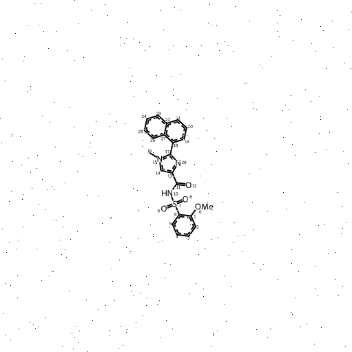 COc1ccccc1S(=O)(=O)NC(=O)c1cn(C)c(-c2cccc3ccccc23)n1